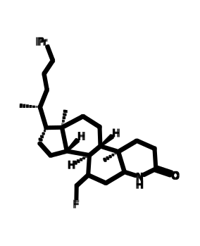 CC(C)CCC[C@@H](C)[C@H]1CC[C@H]2[C@@H]3C(CF)CC4NC(=O)CC[C@]4(C)[C@H]3CC[C@]12C